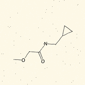 COCC(=O)[N]CC1CC1